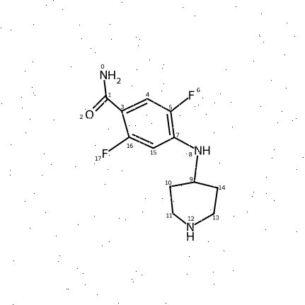 NC(=O)c1cc(F)c(NC2CCNCC2)cc1F